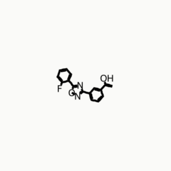 C=C(O)c1cccc(-c2noc(-c3ccccc3F)n2)c1